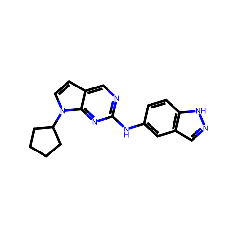 c1cc2[nH]ncc2cc1Nc1ncc2ccn(C3CCCC3)c2n1